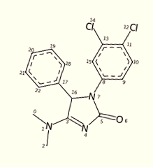 CN(C)C1=NC(=O)N(c2ccc(Cl)c(Cl)c2)C1c1ccccc1